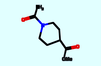 BC(=O)N1CCC(C(=O)OC)CC1